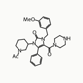 COc1cccc(Cn2c(C(=O)N3CCNCC3)c(-c3ccccc3)n(C3CCCN(C(C)=O)C3)c2=O)c1